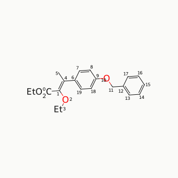 CCOC(=O)C(OCC)=C(C)c1ccc(OCc2ccccc2)cc1